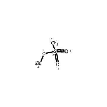 CCC(C)OS(=O)(=O)C(F)(F)F